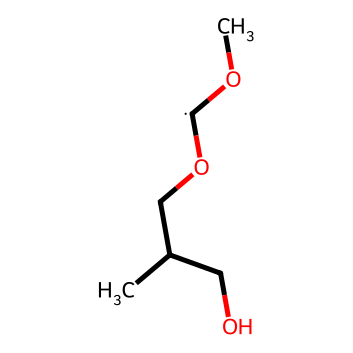 CO[CH]OCC(C)CO